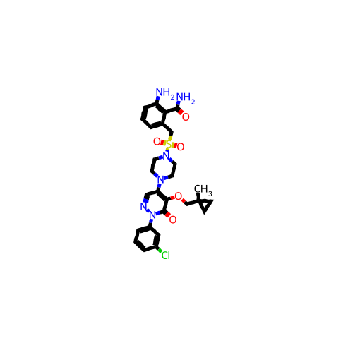 CC1(COc2c(N3CCN(S(=O)(=O)Cc4cccc(N)c4C(N)=O)CC3)cnn(-c3cccc(Cl)c3)c2=O)CC1